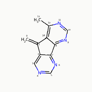 C=C1c2cncnc2-c2ncnc(C)c21